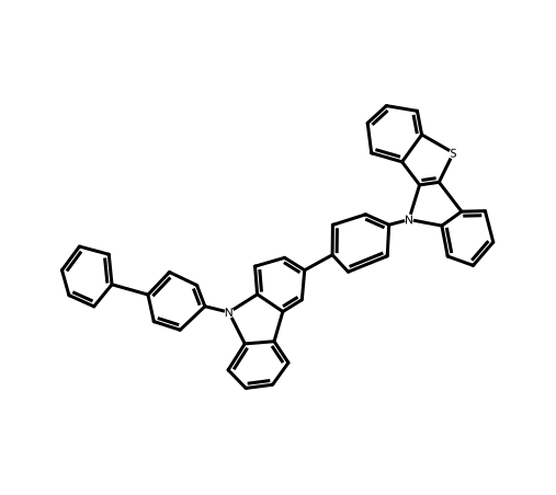 c1ccc(-c2ccc(-n3c4ccccc4c4cc(-c5ccc(-n6c7ccccc7c7sc8ccccc8c76)cc5)ccc43)cc2)cc1